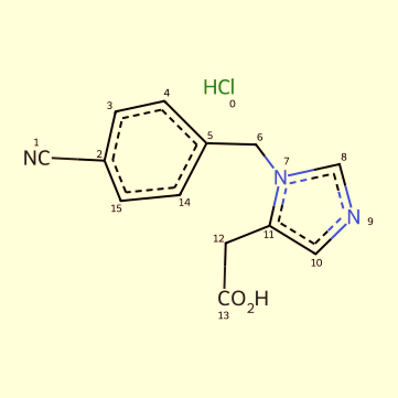 Cl.N#Cc1ccc(Cn2cncc2CC(=O)O)cc1